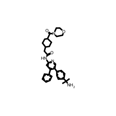 CC(C)(N)c1ccc(-c2cnc(NC(=O)CC3CCC(C(=O)N4CCOCC4)CC3)cc2-c2ccccc2)cc1